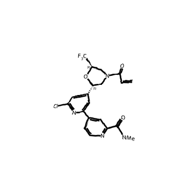 C=CC(=O)N1C[C@H](c2cc(Cl)nc(-c3ccnc(C(=O)NC)c3)c2)O[C@@H](C(F)(F)F)C1